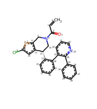 C=CC(=O)N1Cc2sc(Cl)cc2[C@@H](c2ccccc2-c2cccnc2-c2ccccc2)C1